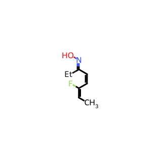 C\C=C(F)/C=C\C(CC)=N\O